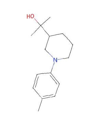 Cc1ccc(N2CCCC(C(C)(C)O)C2)cc1